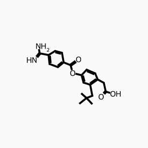 CC(C)(C)Cc1cc(OC(=O)c2ccc(C(=N)N)cc2)ccc1CC(=O)O